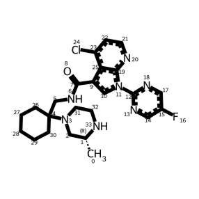 C[C@@H]1CN(C2(CNC(=O)c3cn(-c4ncc(F)cn4)c4nccc(Cl)c34)CCCCC2)CCN1